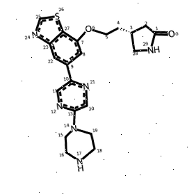 O=C1C[C@@H](CCOc2cc(-c3cnc(N4CCNCC4)cn3)cc3ncsc23)CN1